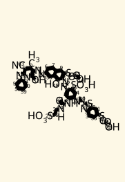 Cc1c(N=Nc2ccc3cc(SOOO)c(N=Nc4cc(NC(=O)NCCS(=O)(=O)O)c(N=Nc5nc6ccc(SOOO)cc6s5)cc4S(=O)(=O)O)c(O)c3c2)c(O)n2c(nc3ccccc32)c1C#N